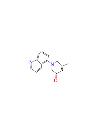 CC1=CC(=O)CN(c2cccc3ncccc23)C1